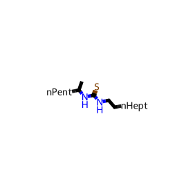 CCCCCCCCCNC(=S)NC(C)CCCCC